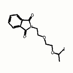 CC(I)OCCOCCN1C(=O)c2ccccc2C1=O